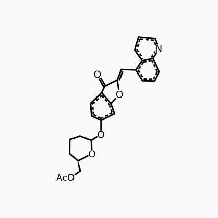 CC(=O)OC[C@H]1CCCC(Oc2ccc3c(c2)O/C(=C\c2cccc4ncccc24)C3=O)O1